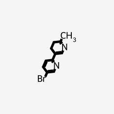 CC1=NC=C(c2ccc(Br)cn2)CC1